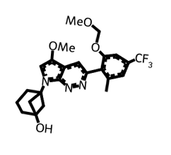 COCOc1cc(C(F)(F)F)cc(C)c1-c1cc2c(OC)cn(C34CCCC(O)(C3)C4)c2nn1